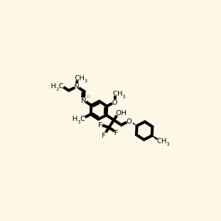 CCN(C)/C=N/c1cc(OC)c(C(O)(CO[C@H]2CC[C@H](C)CC2)C(F)(F)F)cc1C